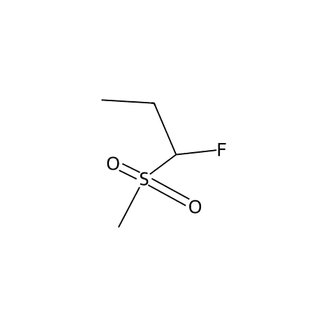 CCC(F)S(C)(=O)=O